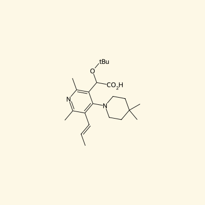 CC=Cc1c(C)nc(C)c(C(OC(C)(C)C)C(=O)O)c1N1CCC(C)(C)CC1